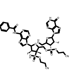 C[C@]1(P(=O)(O)OCCC#N)C(COP(=O)(OCCC#N)[C@@H]2C(CO)OC(n3cnc4c(=O)[nH]cnc43)[C@@H]2F)OC(n2cnc3c(NC(=O)c4ccccc4)ncnc32)[C@@H]1F